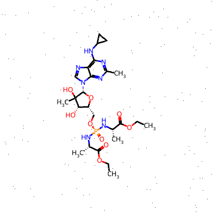 CCOC(=O)[C@H](C)NP(=O)(N[C@@H](C)C(=O)OCC)OC[C@H]1O[C@@H](n2cnc3c(NC4CC4)nc(C)nc32)C(C)(O)[C@H]1O